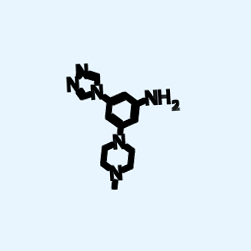 CN1CCN(c2cc(N)cc(-n3cnnc3)c2)CC1